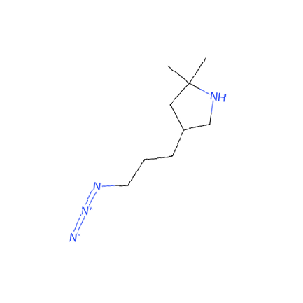 CC1(C)CC(CCCN=[N+]=[N-])CN1